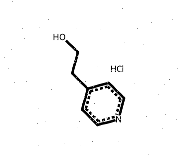 Cl.OCCc1ccncc1